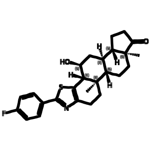 C[C@]12CCc3nc(-c4ccc(F)cc4)sc3[C@@H]1[C@@H](O)C[C@@H]1[C@@H]2CC[C@]2(C)C(=O)CC[C@@H]12